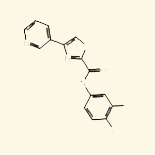 O=C(Nc1ccc(Cl)c(Cl)c1)c1nc(-c2cccnc2)cs1